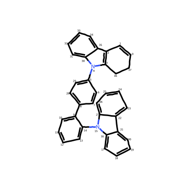 C1=Cc2c(n(-c3ccc(-c4ccccc4-n4c5ccccc5c5ccccc54)cc3)c3ccccc23)CC1